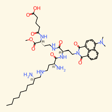 CCCCCCCC[C@H](N)CNCC[C@H](N)C(=O)N[C@H](CCN1C(=O)c2cccc3c(N(C)C)ccc(c23)C1=O)C(=O)NCC[C@@H](NC(=O)CCCC(=O)O)C(=O)OC